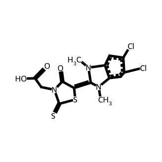 CN1C(=C2SC(=S)N(CC(=O)O)C2=O)N(C)c2cc(Cl)c(Cl)cc21